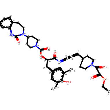 CCOC(=O)C(=O)N1CCC(C=C=C=NC(=O)[C@@H](Cc2cc(C)c(O)c(C)c2)OC(=O)N2CCC(N3CCc4ccccc4NC3=O)CC2)CC1